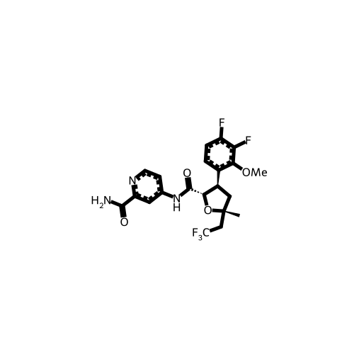 COc1c([C@H]2C[C@](C)(CC(F)(F)F)O[C@@H]2C(=O)Nc2ccnc(C(N)=O)c2)ccc(F)c1F